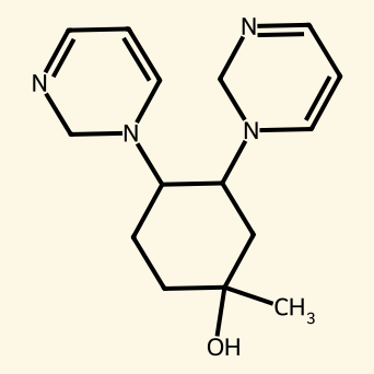 CC1(O)CCC(N2C=CC=NC2)C(N2C=CC=NC2)C1